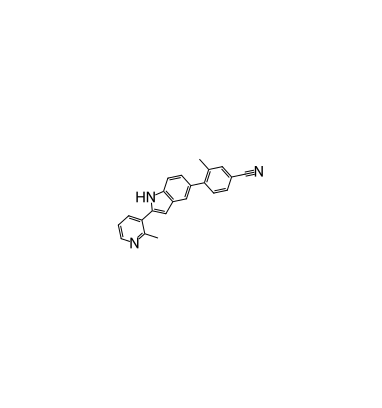 Cc1cc(C#N)ccc1-c1ccc2[nH]c(-c3cccnc3C)cc2c1